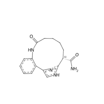 NC(=O)[C@H]1CCCCC(=O)Nc2ccccc2-c2c[nH]c1n2